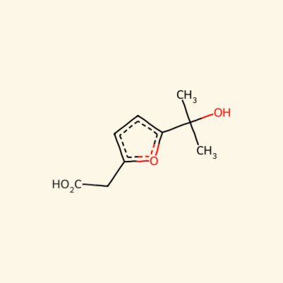 CC(C)(O)c1ccc(CC(=O)O)o1